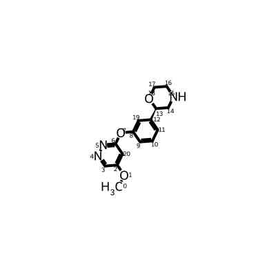 COc1cnnc(Oc2cccc([C@@H]3CNCCO3)c2)c1